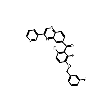 O=C(c1ccc2ncc(-c3cccnc3)nc2c1)c1c(F)ccc(OCc2cccc(F)c2)c1F